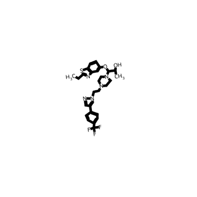 CCc1nc2cc(OC(C(C)O)N3CCN(CCn4cc(-c5ccc(C(F)(F)F)cc5)cn4)CC3)ccc2s1